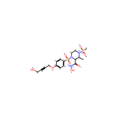 CC1C(C(=O)NO)N(S(=O)(=O)c2ccc(OCC#CCO)cc2)CCN1S(C)(=O)=O